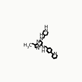 CCc1cnn2c(NCc3ccc(-c4ccccn4)cc3)cc(NCC3CCNCC3)nc12